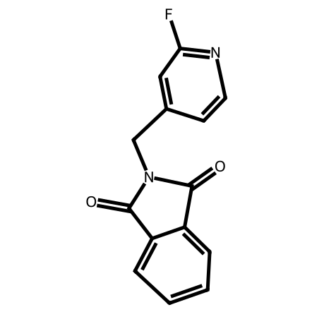 O=C1c2ccccc2C(=O)N1Cc1ccnc(F)c1